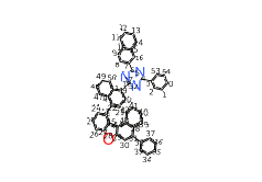 c1ccc(-c2nc(-c3ccc4ccccc4c3)nc(-c3ccc(-c4cccc5oc6cc(-c7ccccc7)c7ccccc7c6c45)c4ccccc34)n2)cc1